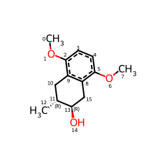 COc1ccc(OC)c2c1C[C@@H](C)[C@H](O)C2